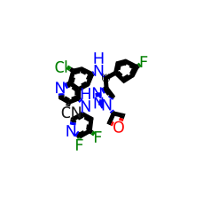 N#Cc1cnc2c(Cl)cc(N[C@@H](c3ccc(F)cc3)c3cn(C4COC4)nn3)cc2c1Nc1cnc(F)c(F)c1